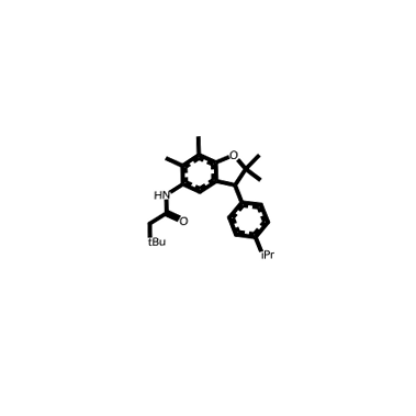 Cc1c(NC(=O)CC(C)(C)C)cc2c(c1C)OC(C)(C)C2c1ccc(C(C)C)cc1